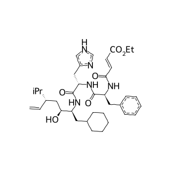 C=C[C@@H](C[C@H](O)[C@H](CC1CCCCC1)NC(=O)[C@H](Cc1c[nH]cn1)NC(=O)[C@H](Cc1ccccc1)NC(=O)C=CC(=O)OCC)C(C)C